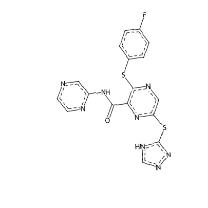 O=C(Nc1cnccn1)c1nc(Sc2nnc[nH]2)cnc1Sc1ccc(F)cc1